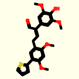 COc1cc(OC)c(-c2cccs2)cc1CC=C(C=O)c1cc(OC)c(O)c(OC)c1